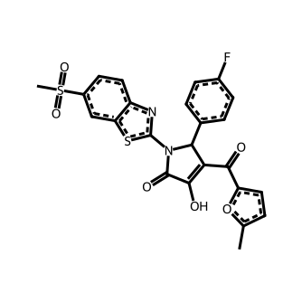 Cc1ccc(C(=O)C2=C(O)C(=O)N(c3nc4ccc(S(C)(=O)=O)cc4s3)C2c2ccc(F)cc2)o1